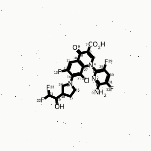 Nc1nc(-n2cc(C(=O)O)c(=O)c3cc(F)c(N4CCC(C(O)C(F)F)C4)c(Cl)c32)c(F)cc1F